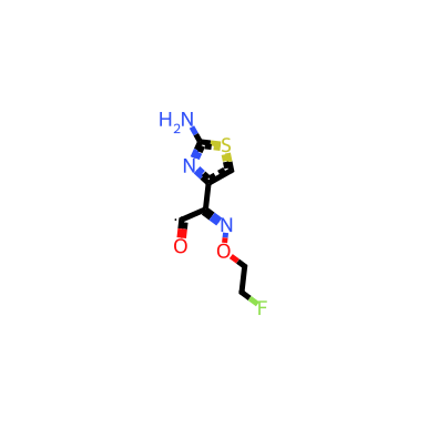 Nc1nc(/C([C]=O)=N/OCCF)cs1